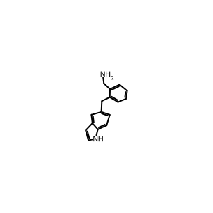 NCc1ccccc1Cc1ccc2[nH]ccc2c1